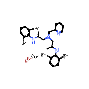 CC(CN(Cc1ccccn1)CC(C)Nc1c(C(C)C)cccc1C(C)C)Nc1c(C(C)C)cccc1C(C)C.[Br-].[Br-].[Co+2]